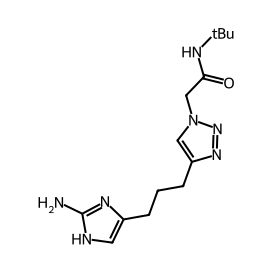 CC(C)(C)NC(=O)Cn1cc(CCCc2c[nH]c(N)n2)nn1